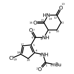 CCCCC(=O)NC1=C(C(=O)NC2CCC(=O)NC2=O)C=C(Cl)C1